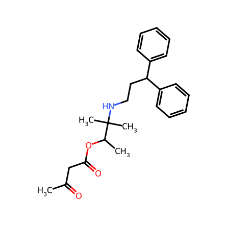 CC(=O)CC(=O)OC(C)C(C)(C)NCCC(c1ccccc1)c1ccccc1